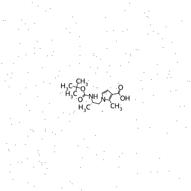 Cc1c(C(=O)O)ccn1C[C@H](C)NC(=O)OC(C)(C)C